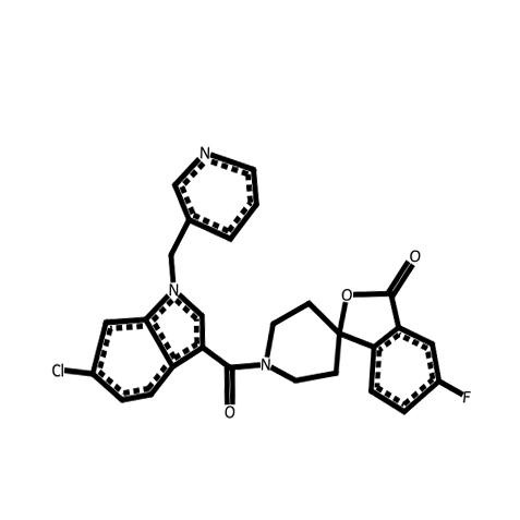 O=C1OC2(CCN(C(=O)c3cn(Cc4cccnc4)c4cc(Cl)ccc34)CC2)c2ccc(F)cc21